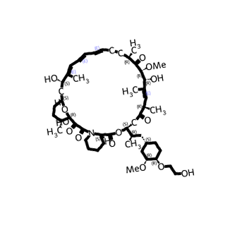 CO[C@@H]1C[C@H](C[C@@H](C)[C@@H]2CC(=O)[C@H](C)/C=C(\C)[C@@H](O)[C@@H](OC)C(=O)[C@H](C)CC/C=C/C=C/C=C(\C)[C@@H](O)C[C@@H]3CC[C@@H](C)[C@@](O)(O3)C(=O)C(=O)N3CCCC[C@H]3C(=O)O2)CC[C@H]1OCCO